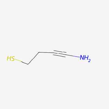 NC#CCCS